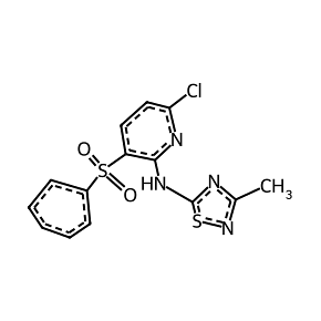 Cc1nsc(Nc2nc(Cl)ccc2S(=O)(=O)c2ccccc2)n1